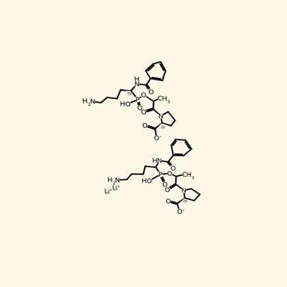 CC(OP(=O)(O)C(CCCCN)NC(=O)c1ccccc1)C(=O)N1CCC[C@H]1C(=O)[O-].CC(OP(=O)(O)[C@@H](CCCCN)NC(=O)c1ccccc1)C(=O)N1CCC[C@H]1C(=O)[O-].[Li+].[Li+]